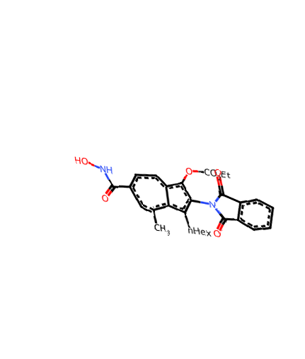 CCCCCCc1c2c(C)cc(C(=O)NO)ccc-2c(OC(=O)OCC)c1N1C(=O)c2ccccc2C1=O